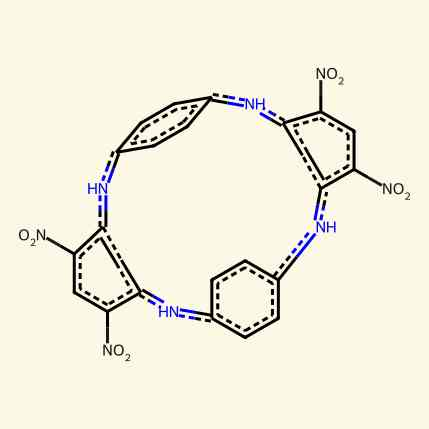 O=[N+]([O-])c1cc([N+](=O)[O-])c2cc1[nH]c1ccc(cc1)[nH]c1cc([nH]c3ccc(cc3)[nH]2)c([N+](=O)[O-])cc1[N+](=O)[O-]